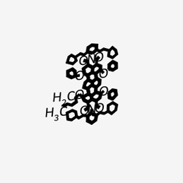 C=C(/C=C\C=C/C)Oc1cc2c3c(cc(Oc4ccccc4)c4c5ccc6c7c(Oc8ccccc8)cc8c9c(cc(Oc%10ccccc%10)c(c%10ccc(c1c34)c5c%106)c97)C(=O)N(c1c(CCC3CCCCC3)cccc1CCC1CCCCC1)C8=O)C(=O)N(c1c(CCC3CCCCC3)cccc1CCC1CCCCC1)C2=O